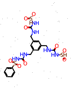 O=C(NCc1cc(CNC(=O)N[SH](=O)=O)cc(CNC(=O)NS(=O)(=O)c2ccccc2)c1)N[SH](=O)=O